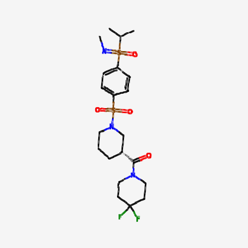 CN=S(=O)(c1ccc(S(=O)(=O)N2CCC[C@@H](C(=O)N3CCC(F)(F)CC3)C2)cc1)C(C)C